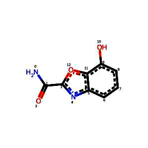 NC(=O)c1nc2cccc(O)c2o1